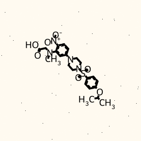 CC(C)Oc1ccc(S(=O)(=O)N2CCN(c3ccc([N+](=O)[O-])c(N(C)CC(=O)O)c3)CC2)cc1